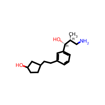 C[C@H](CN)[C@@H](O)c1cccc(CCC2CCC(O)C2)c1